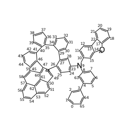 c1ccc(-c2cccc(N(c3ccc4c(c3)oc3ccccc34)c3ccc4c(c3)c3ccccc3c3ccccc3c3ccccc3c3c4cc4ccc5cccc6ccc3c4c56)c2)cc1